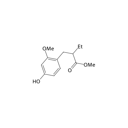 CCC(Cc1ccc(O)cc1OC)C(=O)OC